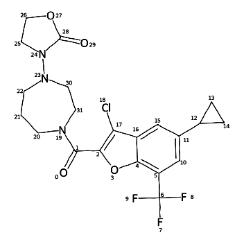 O=C(c1oc2c(C(F)(F)F)cc(C3CC3)cc2c1Cl)N1CCCN(N2CCOC2=O)CC1